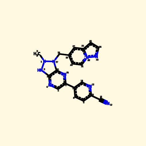 CN1Nc2ncc(-c3ccc(C#N)nc3)nc2N1Cc1ccn2nccc2c1